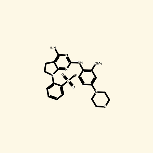 COc1cc(N2CCOCC2)ccc1Nc1nc(N)c2c(n1)N(c1ccccc1S(=O)(=O)C(C)C)CC2